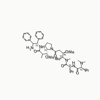 CCC(C)[C@@H]([C@@H](CC(=O)N1CCC[C@H]1C(OC)C(C)C(=O)N[C@@H](c1ccccc1)C(N)c1ccccc1)OC)N(C)C(=O)[C@@H](NC(=O)[C@H](C(C)C)N(C)C)C(C)C